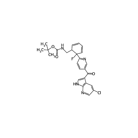 CC(C)(C)OC(=O)NCC1C=CC=CC1(F)c1ccc(C(=O)c2c[nH]c3ncc(Cl)cc23)cn1